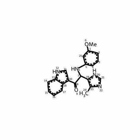 COc1cccc(NC(C(=O)c2c[nH]c3ccccc23)c2[nH]cnc2C)c1